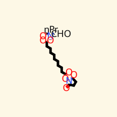 CCCC(=O)N(C=O)OC(=O)CCCCCCCCCC(=O)ON1C(=O)CCC1=O